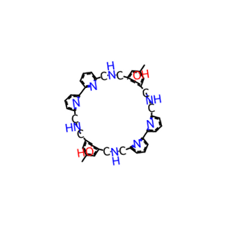 Cc1cc2c(O)c(c1)CNCc1cccc(n1)-c1cccc(n1)CNCc1cc(C)cc(c1O)CNCc1cccc(n1)-c1cccc(n1)CNC2